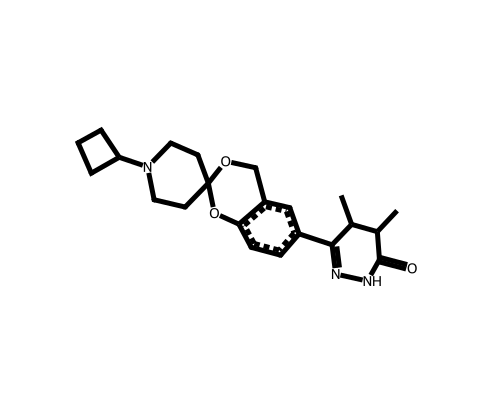 CC1C(=O)NN=C(c2ccc3c(c2)COC2(CCN(C4CCC4)CC2)O3)C1C